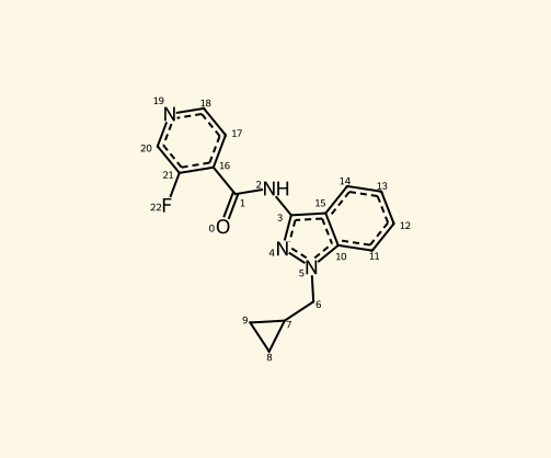 O=C(Nc1nn(CC2CC2)c2ccccc12)c1ccncc1F